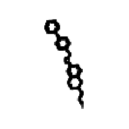 ICCC1CCc2cc(OCc3ccc(-c4ccccc4)cc3)ccc2C1